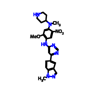 COc1cc(N(C)C2CCNCC2)c([N+](=O)[O-])cc1Nc1cc(-c2ccc3c(cnn3C)c2)ncn1